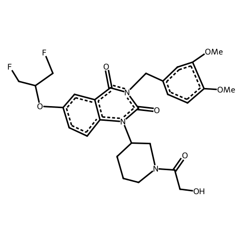 COc1ccc(Cn2c(=O)c3cc(OC(CF)CF)ccc3n(C3CCCN(C(=O)CO)C3)c2=O)cc1OC